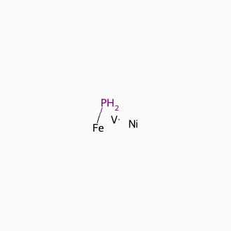 [Ni].[PH2][Fe].[V]